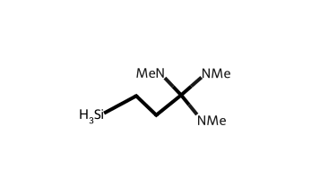 CNC(CC[SiH3])(NC)NC